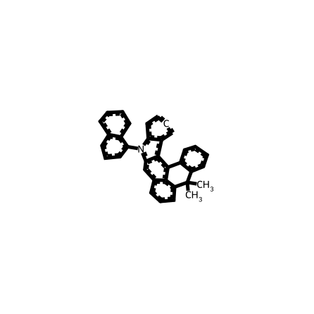 CC1(C)c2ccccc2-c2c3c1cccc3cc1c2c2ccccc2n1-c1cccc2ccccc12